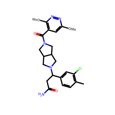 COc1cc(C(=O)N2CC3CN(C(CC(N)=O)c4ccc(C)c(Cl)c4)CC3C2)c(OC)nn1